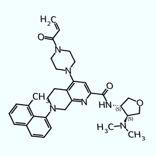 C=CC(=O)N1CCN(c2cc(C(=O)N[C@@H]3COC[C@H]3N(C)C)nc3c2CCN(c2cccc4cccc(C)c24)C3)CC1